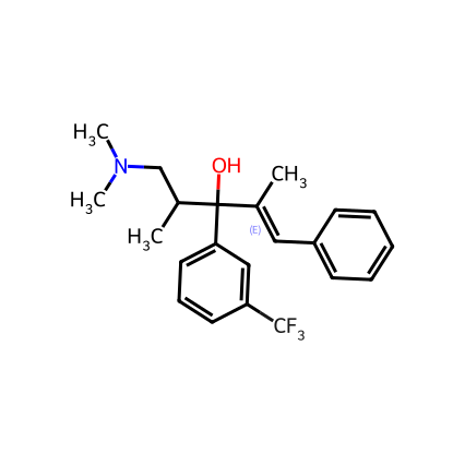 C/C(=C\c1ccccc1)C(O)(c1cccc(C(F)(F)F)c1)C(C)CN(C)C